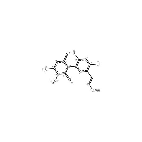 CON=Cc1cc(-n2c(=S)cc(C(F)(F)F)n(N)c2=O)c(F)cc1Cl